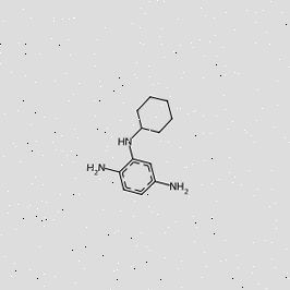 Nc1ccc(N)c(NC2CCCCC2)c1